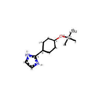 CC(C)(C)[Si](C)(C)OC1CCC(c2ncc[nH]2)CC1